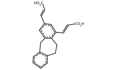 O=C(O)C=Cc1cc(C=CC(=O)O)c2c(c1)Cc1ccccc1CC2